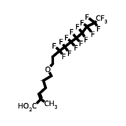 CC(=CC[CH]COCCC(F)(F)C(F)(F)C(F)(F)C(F)(F)C(F)(F)C(F)(F)C(F)(F)C(F)(F)F)C(=O)O